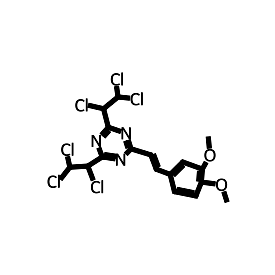 COc1ccc(C=Cc2nc(C(Cl)C(Cl)Cl)nc(C(Cl)C(Cl)Cl)n2)cc1OC